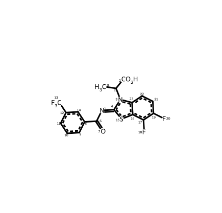 CC(C(=O)O)n1c(=NC(=O)c2cccc(C(F)(F)F)c2)sc2c(F)c(F)ccc21